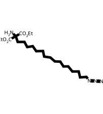 CCOC(=O)C(N)(CCCCCCCCCCCCCCCCN=[N+]=[N-])C(=O)OCC